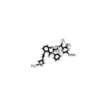 C=C(N[C@@H](C)c1nc2cccc(C#Cc3cnn(C)c3)c2c(=O)n1-c1ccccc1)c1ncc(OC)nc1N